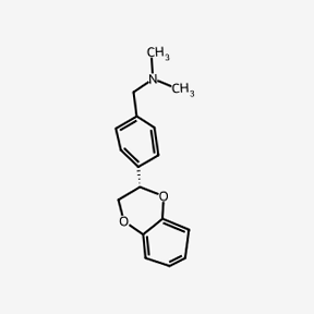 CN(C)Cc1ccc([C@H]2COc3ccccc3O2)cc1